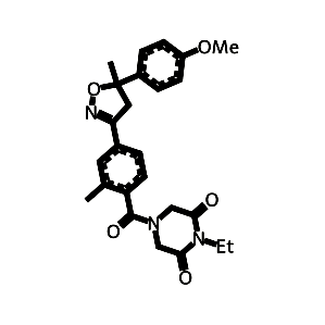 CCN1C(=O)CN(C(=O)c2ccc(C3=NOC(C)(c4ccc(OC)cc4)C3)cc2C)CC1=O